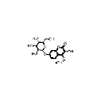 CCCCCCCCOc1c(O)c(=O)oc2cc(O[C@H]3O[C@H](CO)[C@@H](O)[C@H](O)[C@@H]3O)ccc12